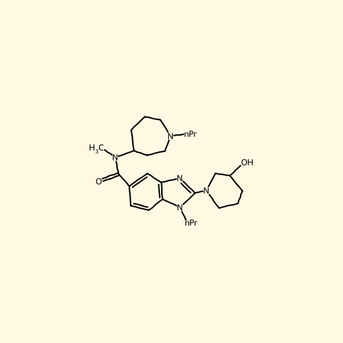 CCCN1CCCC(N(C)C(=O)c2ccc3c(c2)nc(N2CCCC(O)C2)n3CCC)CC1